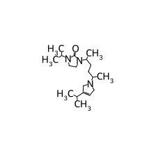 CC(C)C1=CCN(C(C)CCC(C)N2CCN(C(C)C)C2=O)C1